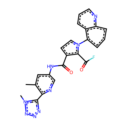 Cc1cc(NC(=O)c2ccn(-c3cccc4ncccc34)c2C(=O)F)cnc1-c1nnnn1C